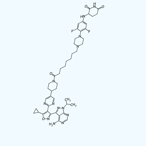 CC(C)n1nc(-c2noc(C3CC3)c2-c2ncc(C3CCN(C(=O)CCCCCCCN4CCN(c5c(F)cc(NC6CCC(=O)NC6=O)cc5F)CC4)CC3)cn2)c2c(N)ncnc21